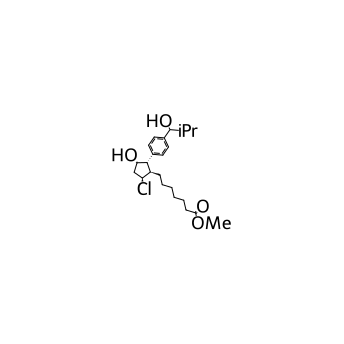 COC(=O)CCCCCC[C@@H]1[C@@H](c2ccc(C(O)C(C)C)cc2)[C@H](O)C[C@@H]1Cl